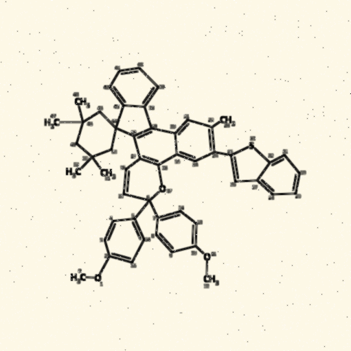 COc1ccc(C2(c3ccc(OC)cc3)C=Cc3c4c(c5cc(C)c(-c6cc7ccccc7s6)cc5c3O2)-c2ccccc2C42CC(C)(C)CC(C)(C)C2)cc1